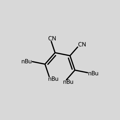 CCCCC(CCCC)=C(C#N)C(C#N)=C(CCCC)CCCC